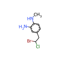 CNc1ccc(CC(Cl)Br)cc1N